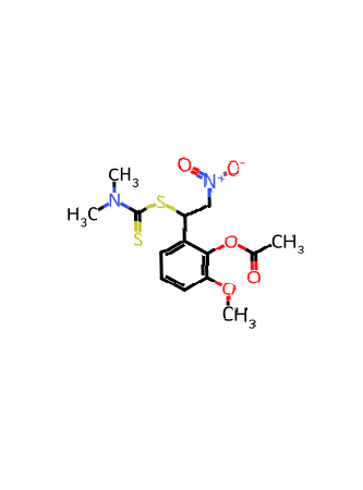 COc1cccc(C(C[N+](=O)[O-])SC(=S)N(C)C)c1OC(C)=O